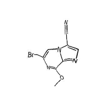 COc1nc(Br)cn2c(C#N)cnc12